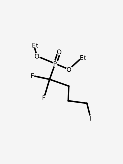 CCOP(=O)(OCC)C(F)(F)CCCI